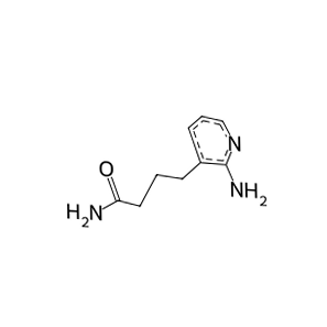 NC(=O)CCCc1cccnc1N